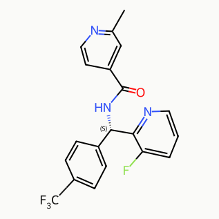 Cc1cc(C(=O)N[C@@H](c2ccc(C(F)(F)F)cc2)c2ncccc2F)ccn1